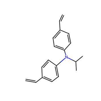 C=Cc1ccc(N(c2ccc(C=C)cc2)C(C)C)cc1